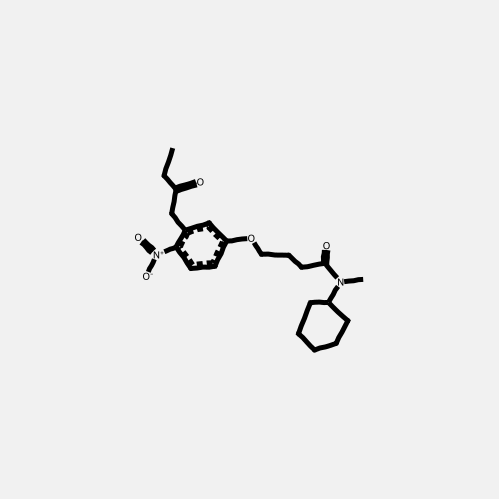 CCC(=O)Cc1cc(OCCCC(=O)N(C)C2CCCCC2)ccc1[N+](=O)[O-]